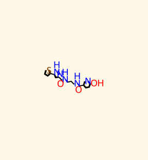 O=C(NCCCNC(=O)c1cc(-c2cccs2)[nH]n1)c1ccc(O)nc1